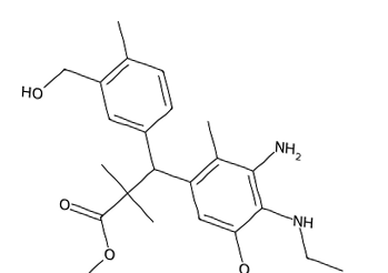 CCNc1c(OC)cc(C(c2ccc(C)c(CO)c2)C(C)(C)C(=O)OC)c(C)c1N